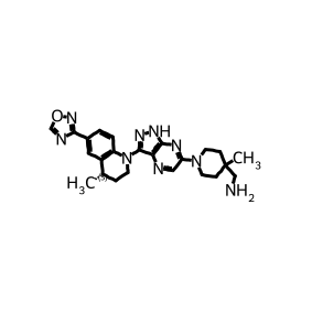 C[C@H]1CCN(c2n[nH]c3nc(N4CCC(C)(CN)CC4)cnc23)c2ccc(-c3ncon3)cc21